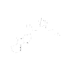 N#CCCn1nnnc1CC(N)c1ccc2c(c1)oc1ccccc12